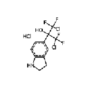 Cl.OC(c1ccc2c(c1)CCN2)(C(F)(F)Cl)C(F)(F)Cl